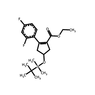 CCOC(=O)C1=C(c2ccc(F)cc2F)CC(O[Si](C)(C)C(C)(C)C)C1